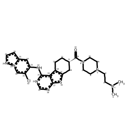 CN(C)CCN1CCN(C(=O)[C@H]2CCc3c(sc4ncnc(Nc5cc6ccnn6cc5Cl)c34)C2)CC1